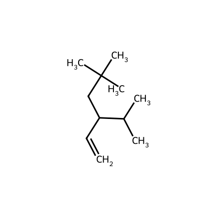 C=CC(CC(C)(C)C)C(C)C